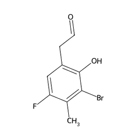 Cc1c(F)cc(CC=O)c(O)c1Br